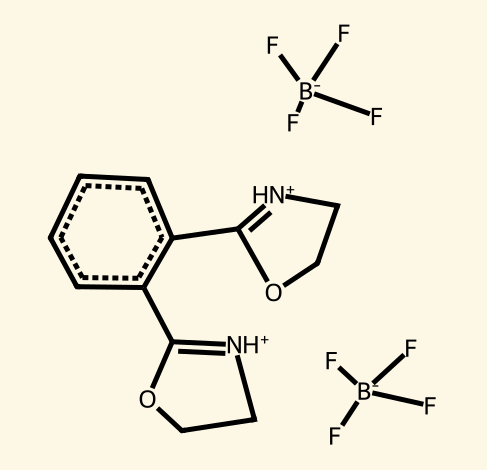 F[B-](F)(F)F.F[B-](F)(F)F.c1ccc(C2=[NH+]CCO2)c(C2=[NH+]CCO2)c1